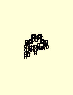 O=C(O)[C@H](CO)NCCN1C(=O)COc2cc(-c3cccc(-c4cccc(-c5ccc6c(c5)OCC(=O)N6CCN[C@@H](CO)C(=O)O)c4Cl)c3Cl)ccc21